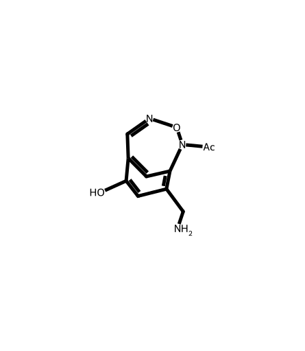 CC(=O)N1ON=Cc2cc1c(CN)cc2O